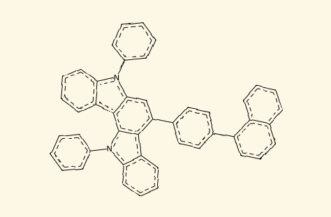 c1ccc(-n2c3ccccc3c3c2cc(-c2ccc(-c4cccc5ccccc45)cc2)c2c4ccccc4n(-c4ccccc4)c23)cc1